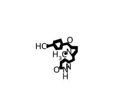 C#Cc1ccc(C(=O)c2ccc(Cc3ccc(=O)[nH]n3)n2C)cc1